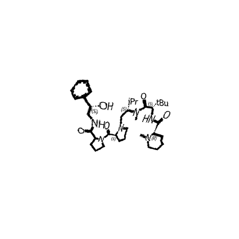 CC(C)[C@@H](CN1CCC[C@H]1C(=O)N1CCCC1C(=O)NC[C@@H](O)c1ccccc1)N(C)C(=O)[C@@H](NC(=O)[C@H]1CCCCN1C)C(C)(C)C